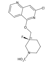 O=C(O)N1CCC[C@@](F)(COc2nc(Cl)cc3ncccc23)C1